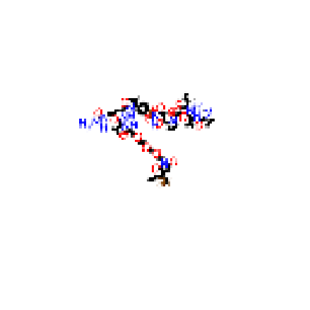 CCCC(S)(CC)C1CC(=O)N(CCOCCOCCOCCC(=O)N[C@H](C(=O)N[C@@H](CCCNC(N)=O)C(=O)NC2(c3ccc(S(=O)(=O)NC(=O)[C@H](C)[C@@H](OC)[C@@H]4CCCN4C(=O)C[C@@H](OC)[C@H]([C@@H](C)CC)N(C)C(=O)[C@@H](NC(=O)[C@H](C(C)C)N(C)C)C(C)C)cc3)CC2)C(C)C)C1=O